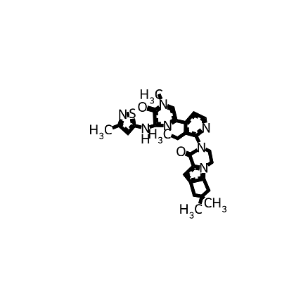 CCc1c(-c2cn(C)c(=O)c(Nc3cc(C)ns3)n2)ccnc1N1CCn2c(cc3c2CC(C)(C)C3)C1=O